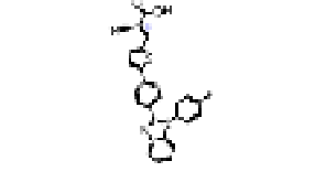 N#C/C(=C\c1ccc(-c2ccc(-c3nc4ccccc4n3C3C=CC(F)=CC3)cc2)s1)C(=O)O